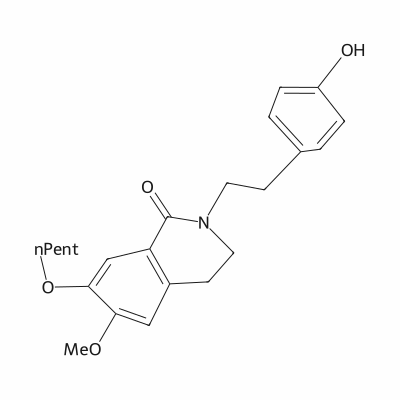 CCCCCOc1cc2c(cc1OC)CCN(CCc1ccc(O)cc1)C2=O